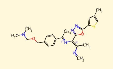 C=N/C(C)=C(\N=C(/C)c1ccc(COCN(C)C)cc1)c1nnc(-c2cc(C)cs2)o1